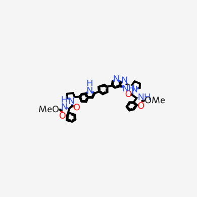 COC(=O)N[C@@H](C(=O)N1CCCC1c1ccc2cc(-c3ccc(-c4cnc5nc([C@@H]6CCCN6C(=O)[C@H](NC(=O)OC)c6ccccc6)[nH]c5c4)cc3)[nH]c2c1)c1ccccc1